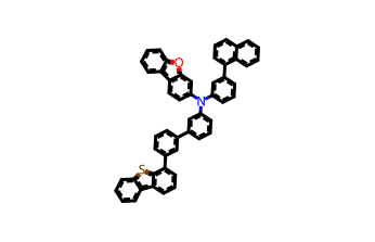 c1cc(-c2cccc(N(c3cccc(-c4cccc5ccccc45)c3)c3ccc4c(c3)oc3ccccc34)c2)cc(-c2cccc3c2sc2ccccc23)c1